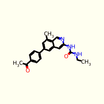 CCNC(=O)Nc1cc2cc(-c3ccc(C(C)=O)cc3)cc(C)c2cn1